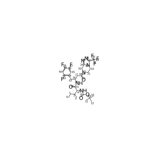 CCC(C)C(NC(=O)OC(C)(C)C)C(=O)NC(CC(=O)N1CCn2c(nnc2C(F)(F)F)C1)Cc1cc(F)c(F)cc1F